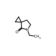 CCN1CCC2(CC2)C1=O